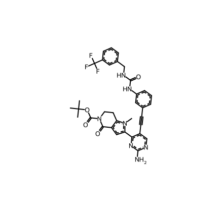 Cn1c(-c2nc(N)ncc2C#Cc2cccc(NC(=O)NCc3cccc(C(F)(F)F)c3)c2)cc2c1CCN(C(=O)OC(C)(C)C)C2=O